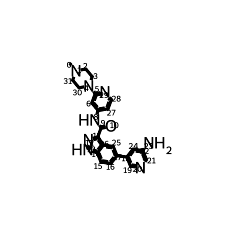 CN1CCN(c2cc(NC(=O)c3n[nH]c4ccc(-c5cncc(N)c5)cc34)ccn2)CC1